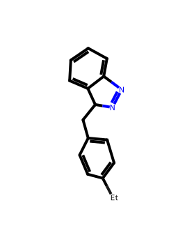 CCc1ccc(C[C]2N=Nc3ccccc32)cc1